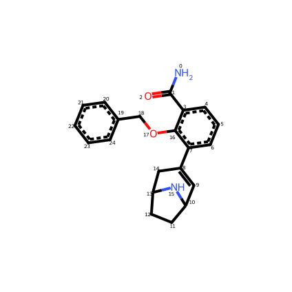 NC(=O)c1cccc(C2=CC3CCC(C2)N3)c1OCc1ccccc1